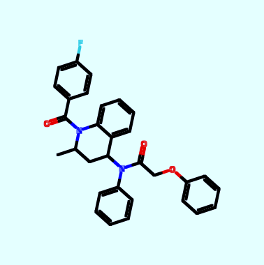 CC1CC(N(C(=O)COc2ccccc2)c2ccccc2)c2ccccc2N1C(=O)c1ccc(F)cc1